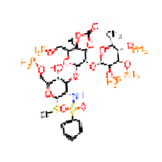 CCS[C@@H]1OC(COP)[C@H](O)C(O[C@@H]2OC(COP)[C@@H]3OC(=O)OC3[C@@H]2O[C@@H]2OC(C)[C@H](OP)[C@H](OP)C2OP)[C@@H]1NS(=O)(=O)c1ccccc1